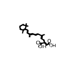 CC(C=CC1=C(C)CCCC1(C)C)=CC=CC(C)=CC/C(=C\C(=O)O)C(=O)O